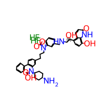 F.F.N[C@H]1CC[C@H](N(C(=O)O)c2cc(CCCn3c(=O)oc4ccc(CNC[C@H](O)c5ccc(O)c6[nH]c(=O)ccc56)cc43)ccc2-c2ccccc2)CC1